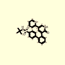 CC(C)(C)NS(=O)(=O)c1ccc(-c2ccccc2-c2cc(-c3ccccn3)c[nH]c2=O)cc1